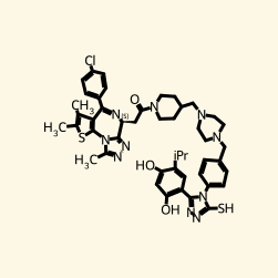 Cc1sc2c(c1C)C(c1ccc(Cl)cc1)=N[C@@H](CC(=O)N1CCC(CN3CCN(Cc4ccc(-n5c(S)nnc5-c5cc(C(C)C)c(O)cc5O)cc4)CC3)CC1)c1nnc(C)n1-2